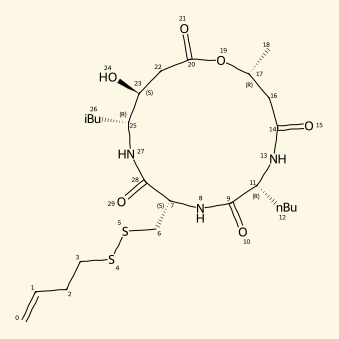 C=CCCSSC[C@H]1NC(=O)[C@@H](CCCC)NC(=O)C[C@@H](C)OC(=O)C[C@H](O)[C@@H](C(C)CC)NC1=O